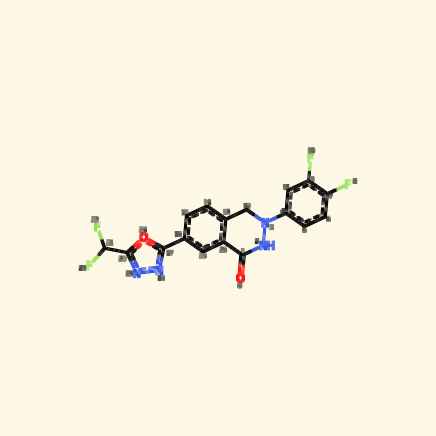 O=C1NN(c2ccc(F)c(F)c2)Cc2ccc(-c3nnc(C(F)F)o3)cc21